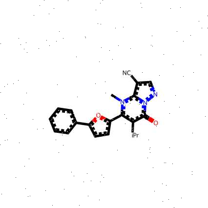 CC(C)c1c(-c2ccc(-c3ccccc3)o2)n(C)c2c(C#N)cnn2c1=O